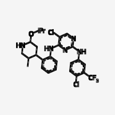 CC(C)OC1CC(c2ccccc2Nc2nc(Nc3ccc(Cl)c(C(F)(F)F)c3)ncc2Cl)C(C)CN1